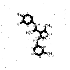 C=C(Nc1ccc(F)c(F)c1)c1c(C)nsc1Nc1cncc(C)n1